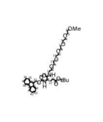 COCCOCCOCCOCCOCCOCCNC(=O)[C@H](CCC(=O)OC(C)(C)C)NC(=O)OCC1c2ccccc2-c2ccccc21